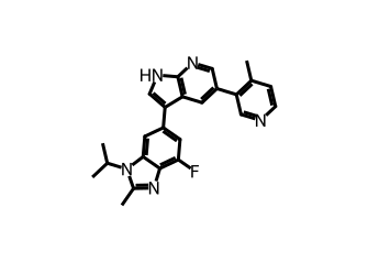 Cc1ccncc1-c1cnc2[nH]cc(-c3cc(F)c4nc(C)n(C(C)C)c4c3)c2c1